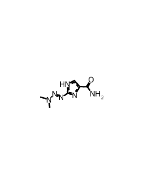 CN(C)N=Nc1nc(C(N)=O)c[nH]1